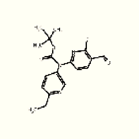 CCc1ccc(N(C(=O)OC(C)(C)C)c2ccc(C=O)c(F)n2)cn1